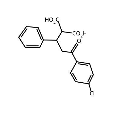 O=C(CC(c1ccccc1)C(C(=O)O)C(=O)O)c1ccc(Cl)cc1